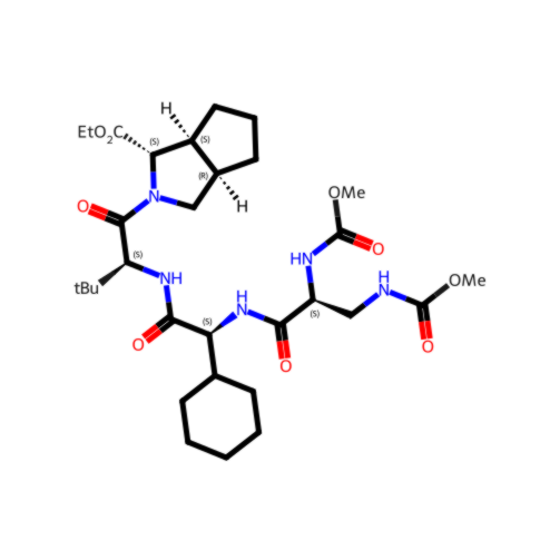 CCOC(=O)[C@@H]1[C@H]2CCC[C@H]2CN1C(=O)[C@@H](NC(=O)[C@@H](NC(=O)[C@H](CNC(=O)OC)NC(=O)OC)C1CCCCC1)C(C)(C)C